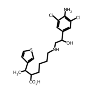 CC(c1ccsc1)C(CCCCNCC(O)c1cc(Cl)c(N)c(Cl)c1)C(=O)O